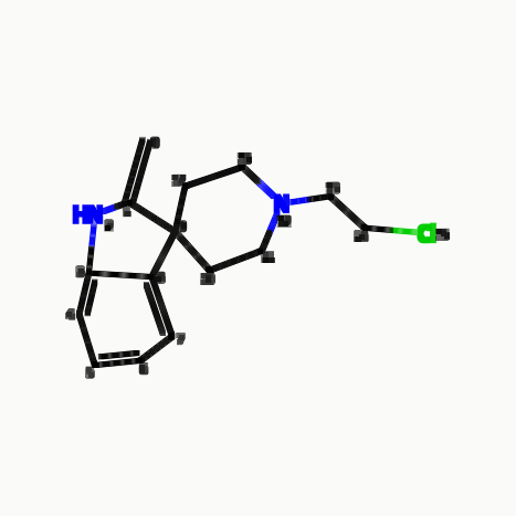 C=C1Nc2ccccc2C12CCN(CCCl)CC2